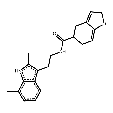 Cc1[nH]c2c(C)cccc2c1CCNC(=O)C1CC=C2OCC=C2C1